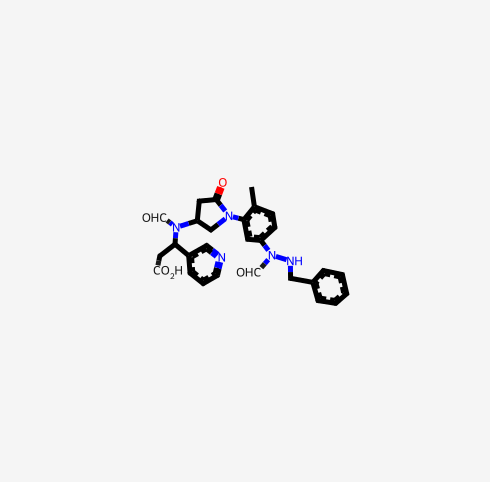 Cc1ccc(N(C=O)NCc2ccccc2)cc1N1CC(N(C=O)C(CC(=O)O)c2cccnc2)CC1=O